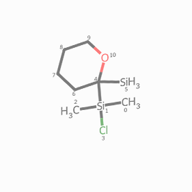 C[Si](C)(Cl)C1([SiH3])CCCCO1